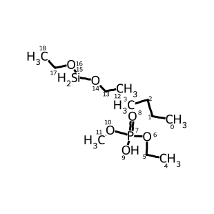 CCCC.CCOP(=O)(O)OC.CCO[SiH2]OCC